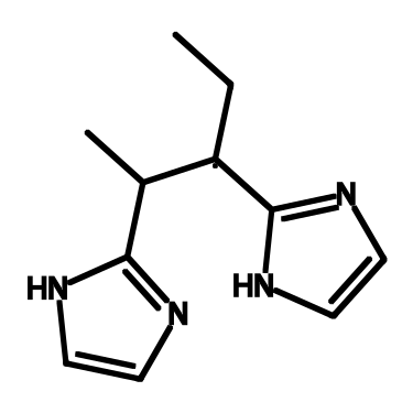 CC[C](c1ncc[nH]1)C(C)c1ncc[nH]1